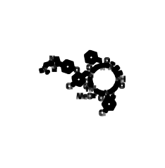 COC[C@@H]1NC(=O)[C@H](C)N(Cc2ccc(Cl)cc2Oc2ccc(-c3cnc(CN(C)C)n3C)cc2)C(=O)C[C@@H](Cc2ccccc2)C(=O)N(C)C(C)C(C)NC(=O)C[C@H](Cc2ccc(Cl)cc2)N(C)C1=O